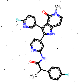 CC(C(=O)Nc1cc(-c2[nH]c3ccn(C)c(=O)c3c2-c2ccc(F)nc2)ccn1)c1ccc(F)cc1